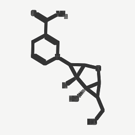 NC(=O)C1=CN(C2C3OC4C(CO)[C@@]4(O)[C@@H]32)C=CC1